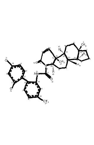 C[C@@]12CCC[C@H]1[C@@H]1CC[C@H]3N(C(=O)Nc4cc(C(F)(F)F)ccc4-c4ccc(Cl)cc4Cl)C(=O)C=C[C@]3(C)[C@H]1CC2